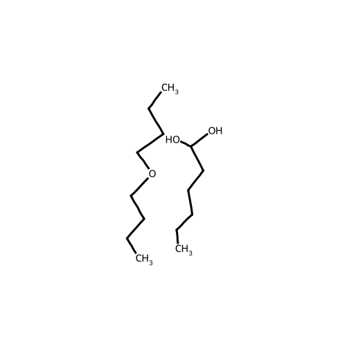 CCCCCC(O)O.CCCCOCCCC